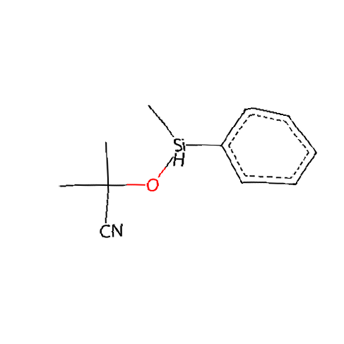 C[SiH](OC(C)(C)C#N)c1ccccc1